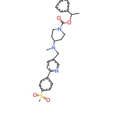 CC(OC(=O)N1CCC(N(C)Cc2ccc(-c3ccc(S(C)(=O)=O)cc3)nc2)CC1)c1ccccc1